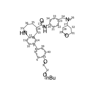 CCCCOCCOc1ccc(-c2ccc3c(c2)/C=C(/C(=O)Nc2ccc(CN(C)C4CCOCC4)cc2)CCCN3)cc1